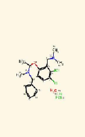 CC(Oc1ccc(Cl)c(Cl)c1CN(C)C)N(C)Cc1ccccc1.Cl.Cl.O